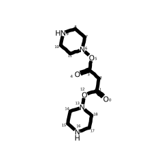 O=C(CC(=O)ON1CCNCC1)ON1CCNCC1